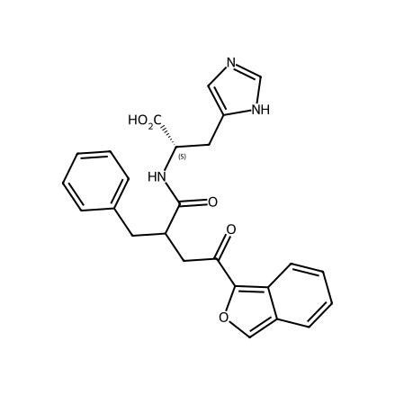 O=C(CC(Cc1ccccc1)C(=O)N[C@@H](Cc1cnc[nH]1)C(=O)O)c1occ2ccccc12